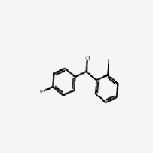 Fc1ccc(C(Cl)c2ccccc2F)cc1